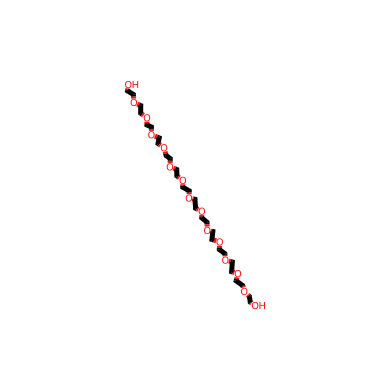 OCCOCCOCCOCCOCCOCCOCCOCCOCCOCCOCCOCCOCCOCCO